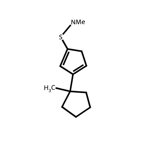 CNSC1=CC(C2(C)CCCC2)=CC1